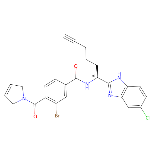 C#CCCC[C@H](NC(=O)c1ccc(C(=O)N2CC=CC2)c(Br)c1)c1nc2cc(Cl)ccc2[nH]1